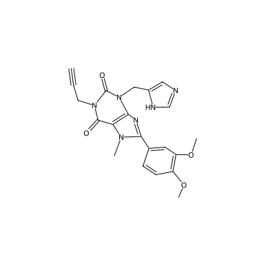 C#CCn1c(=O)c2c(nc(-c3ccc(OC)c(OC)c3)n2C)n(Cc2cnc[nH]2)c1=O